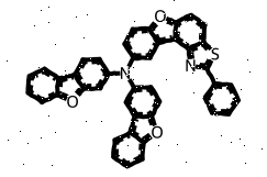 c1ccc(-c2nc3c(ccc4oc5ccc(N(c6ccc7c(c6)oc6ccccc67)c6ccc7oc8ccccc8c7c6)cc5c43)s2)cc1